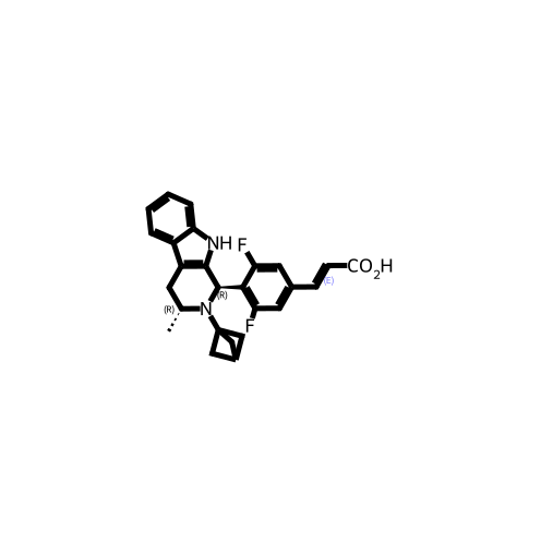 C[C@@H]1Cc2c([nH]c3ccccc23)[C@@H](c2c(F)cc(/C=C/C(=O)O)cc2F)N1C12CC(C1)C2